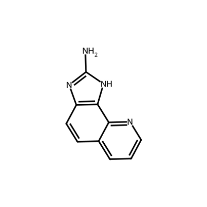 Nc1nc2ccc3cccnc3c2[nH]1